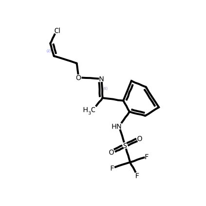 C/C(=N\OC/C=C\Cl)c1ccccc1NS(=O)(=O)C(F)(F)F